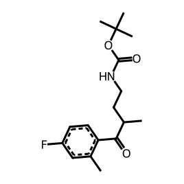 Cc1cc(F)ccc1C(=O)C(C)CCNC(=O)OC(C)(C)C